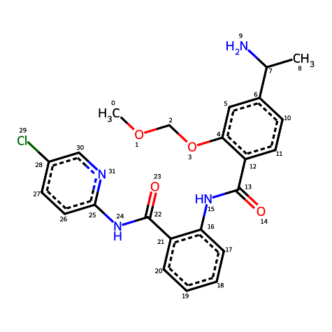 COCOc1cc(C(C)N)ccc1C(=O)Nc1ccccc1C(=O)Nc1ccc(Cl)cn1